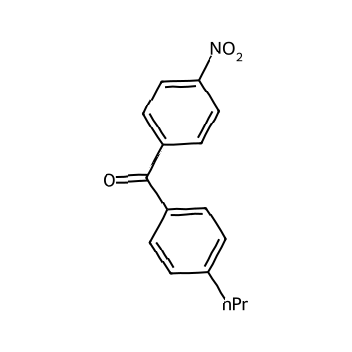 CCCc1ccc(C(=O)c2ccc([N+](=O)[O-])cc2)cc1